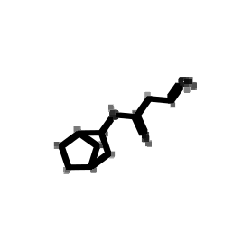 C=CCC(=S)OC1CC2CCC1C2